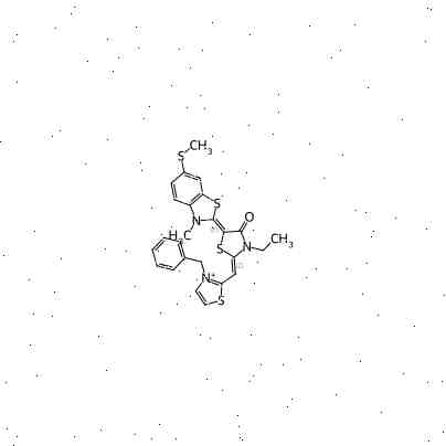 CCn1c(=O)/c(=C2\Sc3cc(SC)ccc3N2C)s/c1=C\c1scc[n+]1Cc1ccccc1